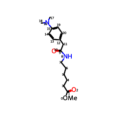 COC(=O)CCCCCNC(=O)Cc1ccc(N(C)C)cc1